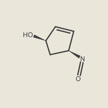 O=N[C@@H]1C=C[C@H](O)C1